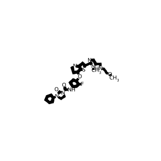 COCCNCc1cnc(-c2cc3nccc(Oc4ccc(NC(=O)N5CCN(c6ccccc6)C5=O)cc4F)c3s2)n1C